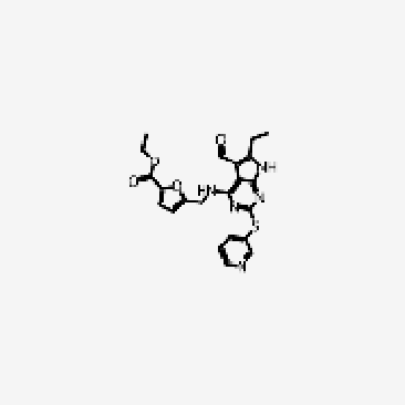 CCOC(=O)c1ccc(CNc2nc(Sc3cccnc3)nc3[nH]c(CC)c(C=O)c23)o1